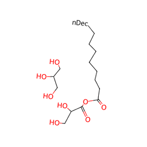 CCCCCCCCCCCCCCCCCC(=O)OC(=O)C(O)CO.OCC(O)CO